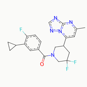 Cc1cc(C2CN(C(=O)c3ccc(F)c(C4CC4)c3)CC(F)(F)C2)n2ncnc2n1